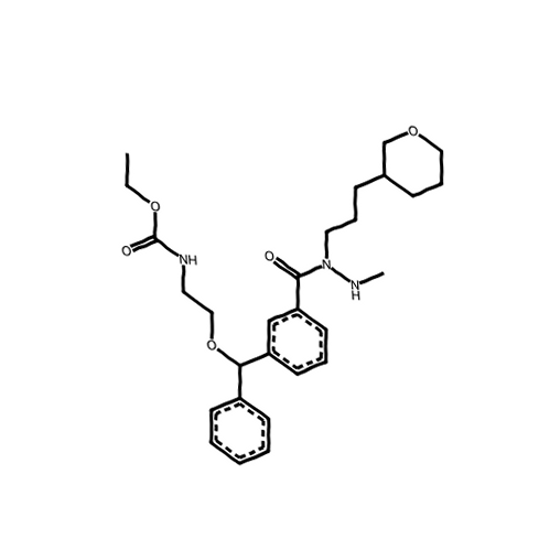 CCOC(=O)NCCOC(c1ccccc1)c1cccc(C(=O)N(CCCC2CCCOC2)NC)c1